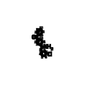 NC(Cc1cccc(Cl)c1)C1CCN(C(=O)c2cccnc2)CC1